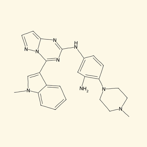 CN1CCN(c2ccc(Nc3nc(-c4cn(C)c5ccccc45)n4nccc4n3)cc2N)CC1